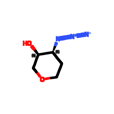 [N-]=[N+]=N[C@@H]1CCOC[C@H]1O